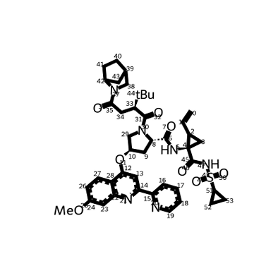 C=CC1C[C@]1(NC(=O)[C@@H]1C[C@@H](Oc2cc(-c3ccccn3)nc3cc(OC)ccc23)CN1C(=O)[C@@H](CC(=O)N1CC2CCC1C2)C(C)(C)C)C(=O)NS(=O)(=O)C1CC1